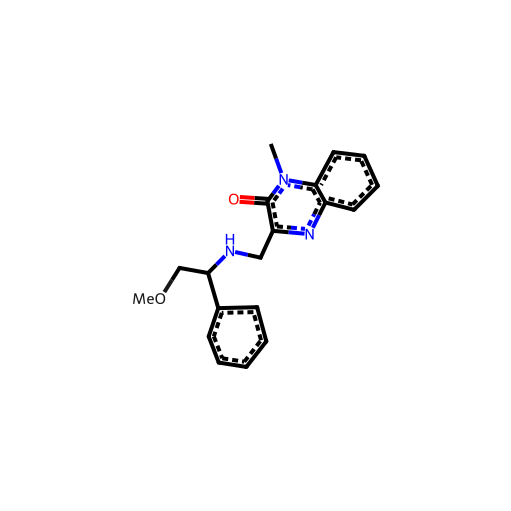 COCC(NCc1nc2ccccc2n(C)c1=O)c1ccccc1